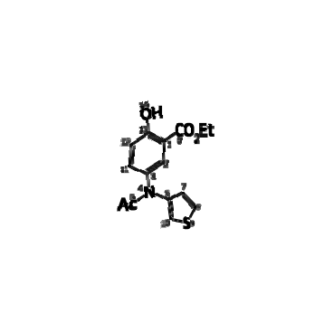 CCOC(=O)c1cc(N(C(C)=O)c2ccsc2)ccc1O